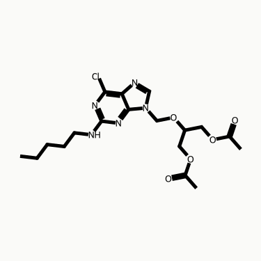 CCCCCNc1nc(Cl)c2ncn(COC(COC(C)=O)COC(C)=O)c2n1